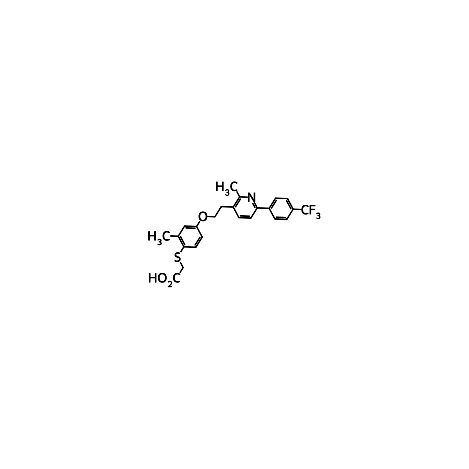 Cc1cc(OCCc2ccc(-c3ccc(C(F)(F)F)cc3)nc2C)ccc1SCC(=O)O